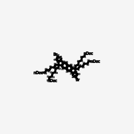 CCCCCCCCCCCCCCCCC1(CCCCCCCCCCCCCCCC)c2cc3cc4c(cc3cc2-c2sc(Br)cc21)C(CCCCCCCCCCCCCCCC)(CCCCCCCCCCCCCCCC)c1cc(Br)sc1-4